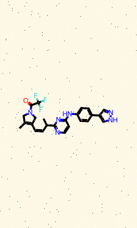 CC1=C(/C=C\C(C)c2nccc(Nc3ccc(-c4cn[nH]c4)cc3)n2)CN(C(=O)C(F)(F)F)C1